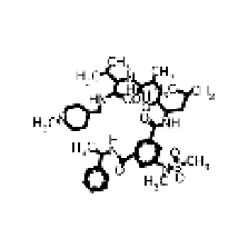 CC(C)CC(NC(=O)c1cc(C(=O)NC(C)c2ccccc2)cc(N(C)S(C)(=O)=O)c1)C(O)CC(C)C(=O)NC(C(=O)NCC1CCN(C)CC1)C(C)C